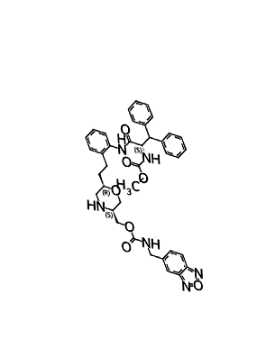 COC(=O)N[C@H](C(=O)Nc1ccccc1CC[C@@H]1CN[C@H](COC(=O)NCc2ccc3nonc3c2)CO1)C(c1ccccc1)c1ccccc1